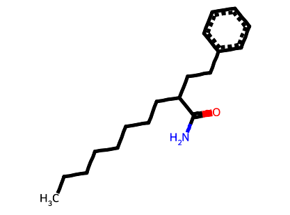 CCCCCCCCC(CCc1ccccc1)C(N)=O